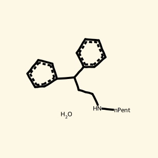 CCCCCNCCC(c1ccccc1)c1ccccc1.O